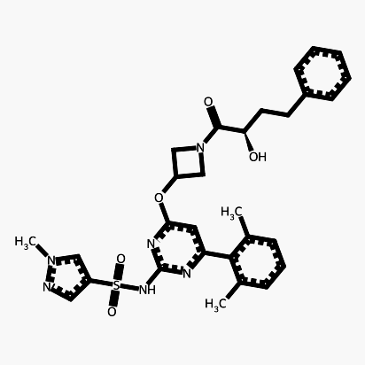 Cc1cccc(C)c1-c1cc(OC2CN(C(=O)[C@H](O)CCc3ccccc3)C2)nc(NS(=O)(=O)c2cnn(C)c2)n1